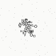 CC[C@H](C)[C@H](NC(=O)[C@H](CC(C)C)NC(=O)c1cnccn1)C(=O)N1C[C@H](OCc2ccccc2)C[C@H]1C(=O)N(C(=O)C[C@H](N)CC(F)F)C(=O)C(=O)NS(=O)(=O)c1cccc(Cl)c1